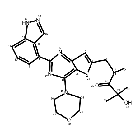 CN(Cc1cc2nc(-c3cccc4[nH]ncc34)nc(N3CCOCC3)c2s1)C(=O)C(C)(C)O